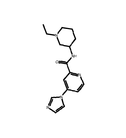 CCN1CCCC(NC(=O)c2cc(-n3ccnc3)ccn2)C1